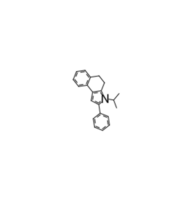 CC(C)n1c(-c2ccccc2)cc2c1CCc1ccccc1-2